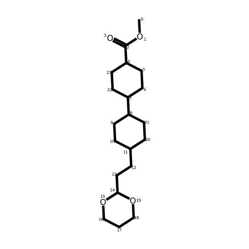 COC(=O)C1CCC(C2CCC(CCC3OCCCO3)CC2)CC1